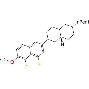 CCCCC[C@@H]1CC[C@@H]2CC(c3cc(F)c4c(F)c(OC(F)(F)F)ccc4c3)CCC2C1